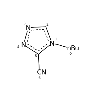 CCCCn1cnnc1C#N